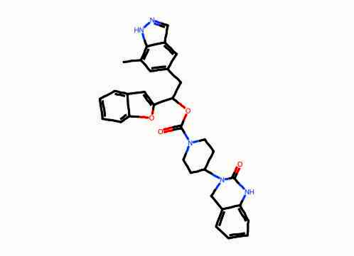 Cc1cc(CC(OC(=O)N2CCC(N3Cc4ccccc4NC3=O)CC2)c2cc3ccccc3o2)cc2cn[nH]c12